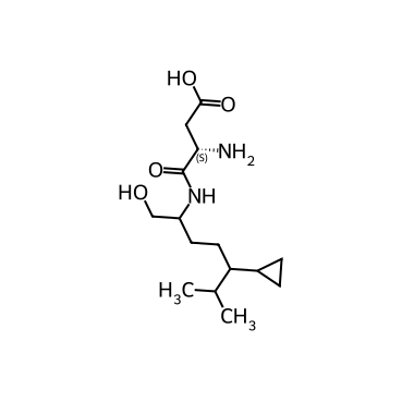 CC(C)C(CCC(CO)NC(=O)[C@@H](N)CC(=O)O)C1CC1